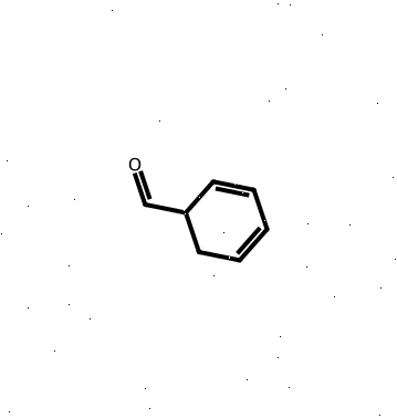 O=C[C]1C=CC=CC1